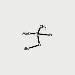 CCC[Si](C)(OC)OC(C)CC